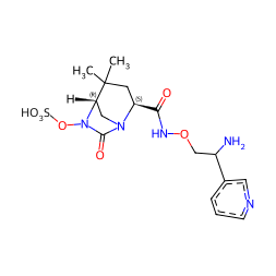 CC1(C)C[C@@H](C(=O)NOCC(N)c2cccnc2)N2C[C@@H]1N(OS(=O)(=O)O)C2=O